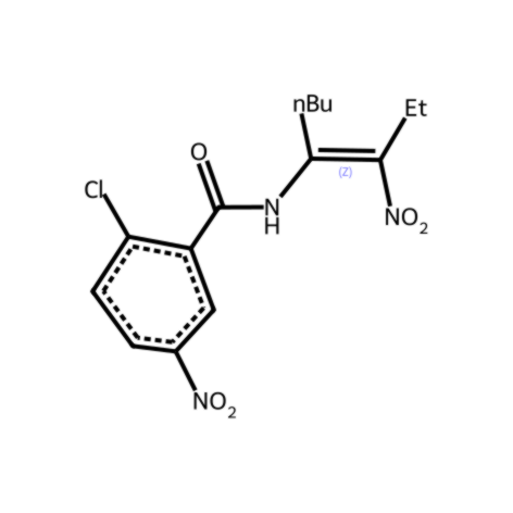 CCCC/C(NC(=O)c1cc([N+](=O)[O-])ccc1Cl)=C(\CC)[N+](=O)[O-]